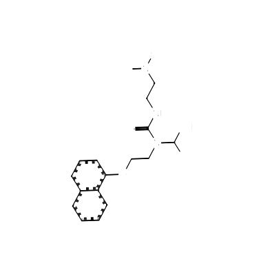 CC(C)N(CCOc1cccc2ccccc12)C(=O)NCCN(C)C.Cl